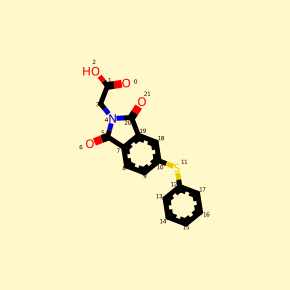 O=C(O)CN1C(=O)c2ccc(Sc3ccccc3)cc2C1=O